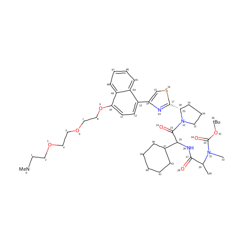 CNCCOCCOCCOc1ccc(-c2csc([C@@H]3CCCN3C(=O)C(NC(=O)C(C)N(C)C(=O)OC(C)(C)C)C3CCCCC3)n2)c2ccccc12